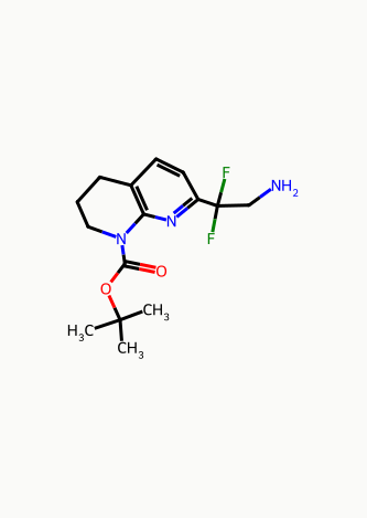 CC(C)(C)OC(=O)N1CCCc2ccc(C(F)(F)CN)nc21